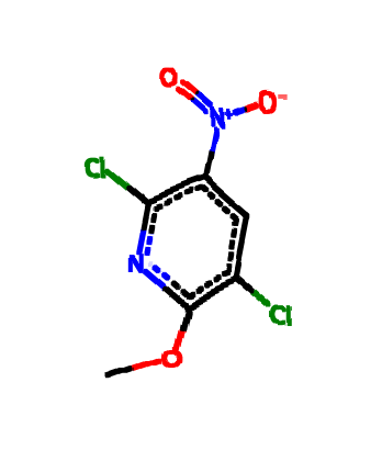 COc1nc(Cl)c([N+](=O)[O-])cc1Cl